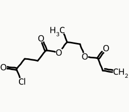 C=CC(=O)OCC(C)OC(=O)CCC(=O)Cl